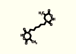 CC1CN(CCCCCCN2CC(C)C(=O)ONC2=O)C(=O)NOC1=O